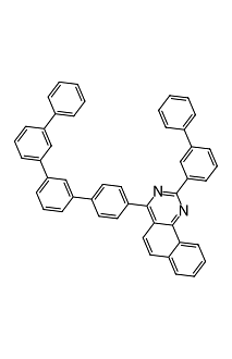 c1ccc(-c2cccc(-c3cccc(-c4ccc(-c5nc(-c6cccc(-c7ccccc7)c6)nc6c5ccc5ccccc56)cc4)c3)c2)cc1